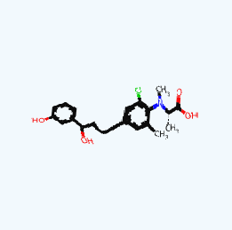 Cc1cc(CCC(O)c2cccc(O)c2)cc(Cl)c1N(C)[C@@H](C)C(=O)O